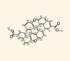 COC(=O)c1ccc2c(ccc3oc4cccc5c4c(c4cccc6oc7ccc8cc(C(=O)OC)ccc8c7c5c64)c32)c1